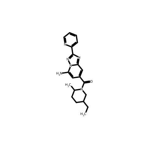 CCC1CCC(C)N(C(=O)c2cc(N)n3nc(-c4ccccn4)nc3c2)C1